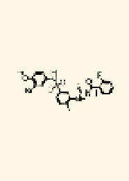 CCOc1ccc(NS(=O)(=O)c2ccc(C)c(NC(=S)NC(=O)c3ccccc3F)c2)cc1Br